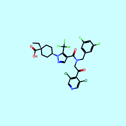 CC[C@]1(C(=O)O)CC[C@H](n2ncc(C(=O)N(CC(=O)c3c(Cl)cncc3Cl)Cc3cc(F)cc(F)c3)c2C(F)(F)F)CC1